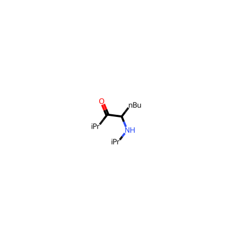 CCCCC(NC(C)C)C(=O)C(C)C